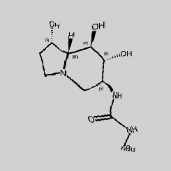 CCCCNC(=O)N[C@H]1CN2CC[C@H](O)[C@@H]2[C@@H](O)[C@@H]1O